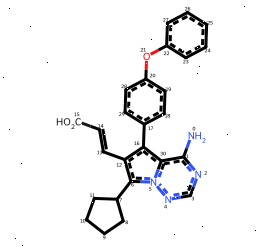 Nc1ncnn2c(C3CCCC3)c(C=CC(=O)O)c(-c3ccc(Oc4ccccc4)cc3)c12